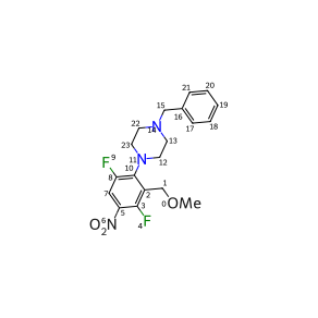 COCc1c(F)c([N+](=O)[O-])cc(F)c1N1CCN(Cc2ccccc2)CC1